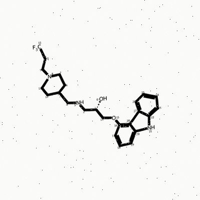 O[C@@H](CNCC1CCN(CCC(F)(F)F)CC1)COc1cccc2[nH]c3ccccc3c12